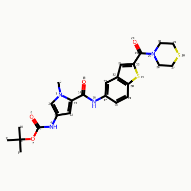 Cn1cc(NC(=O)OC(C)(C)C)cc1C(=O)Nc1ccc2sc(C(=O)N3CCSCC3)cc2c1